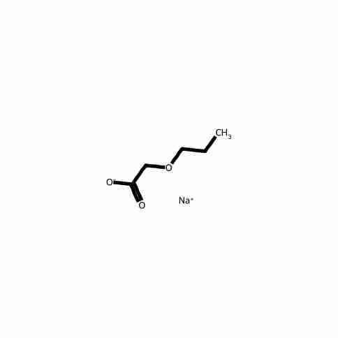 CCCOCC(=O)[O-].[Na+]